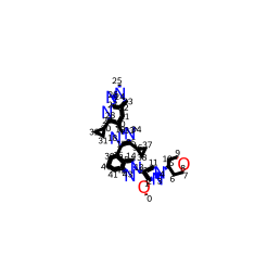 COc1nn(C2CCOCC2)cc1-n1cc2c(-c3nc(-c4cc5cn(C)nc5nc4C4CC4)n(C)c3C3CC3)cccc2n1